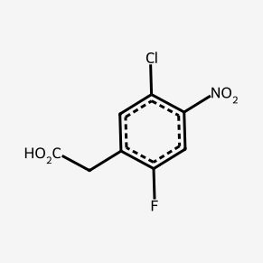 O=C(O)Cc1cc(Cl)c([N+](=O)[O-])cc1F